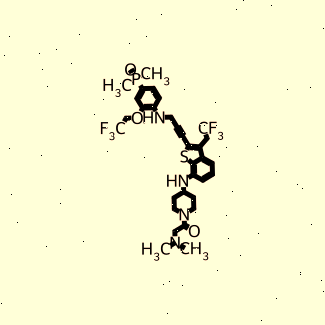 CN(C)CC(=O)N1CCC(Nc2cccc3c(CC(F)(F)F)c(C#CCNc4ccc(P(C)(C)=O)cc4OCC(F)(F)F)sc23)CC1